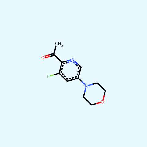 CC(=O)c1ncc(N2CCOCC2)cc1F